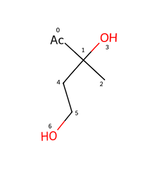 CC(=O)C(C)(O)CCO